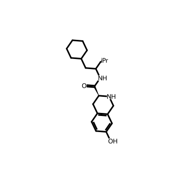 CC(C)C(CC1CCCCC1)NC(=O)[C@@H]1Cc2ccc(O)cc2CN1